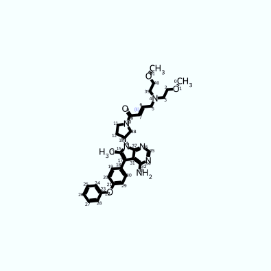 COCCN(C/C=C/C(=O)N1CC[C@@H](n2c(C)c(-c3ccc(Oc4ccccc4)cc3)c3c(N)ncnc32)C1)CCOC